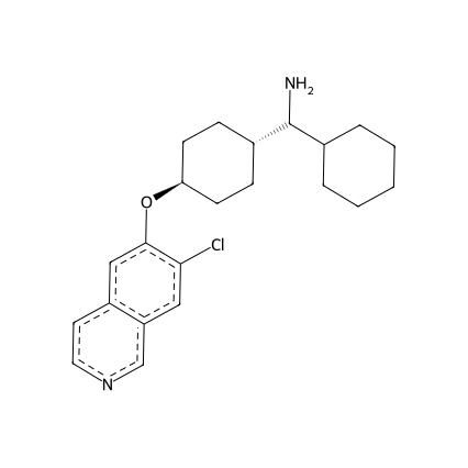 NC(C1CCCCC1)[C@H]1CC[C@H](Oc2cc3ccncc3cc2Cl)CC1